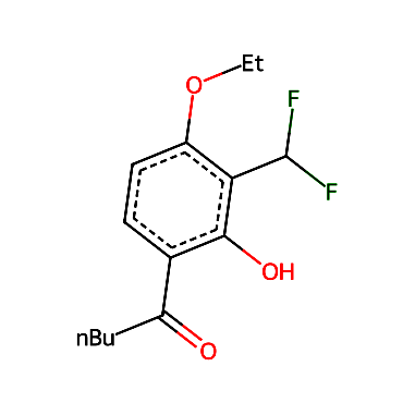 CCCCC(=O)c1ccc(OCC)c(C(F)F)c1O